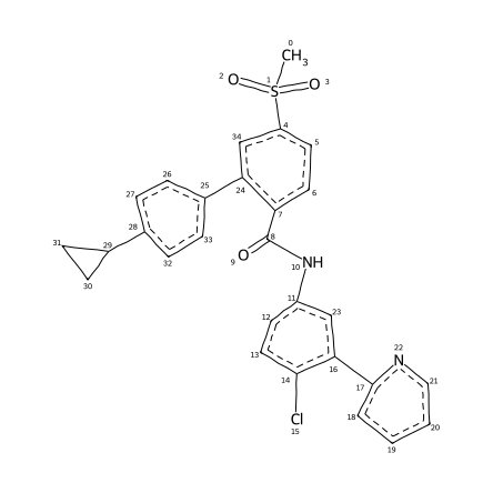 CS(=O)(=O)c1ccc(C(=O)Nc2ccc(Cl)c(-c3ccccn3)c2)c(-c2ccc(C3CC3)cc2)c1